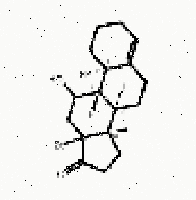 CCC12CC(O)[C@H]3[C@@H](CCC4=CCCC[C@@H]43)[C@@H]1CCC2=O